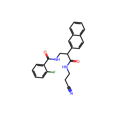 N#CCCNC(=O)C(CNC(=O)c1ccccc1F)c1ccc2ccccc2c1